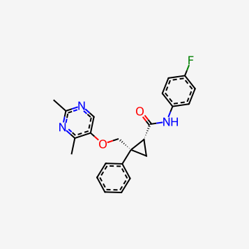 Cc1ncc(OC[C@@]2(c3ccccc3)C[C@H]2C(=O)Nc2ccc(F)cc2)c(C)n1